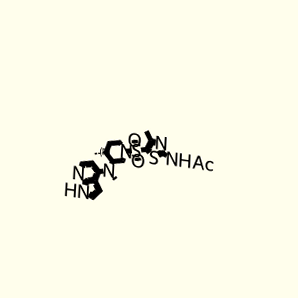 CC(=O)Nc1nc(C)c(S(=O)(=O)N2CC[C@@H](C)C(N(C)c3ccnc4[nH]ccc34)C2)s1